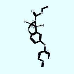 C=N/C=C\C(=C/C)Oc1ccc2c(c1)[C@@H]1[C@H](O2)[C@H]1C(=O)OCC